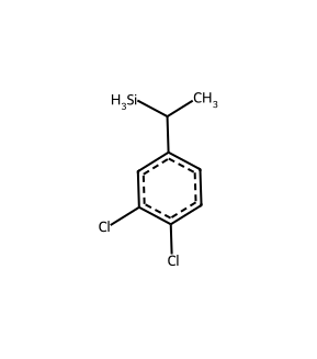 CC([SiH3])c1ccc(Cl)c(Cl)c1